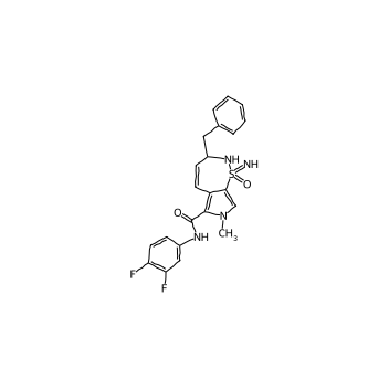 Cn1cc2c(c1C(=O)Nc1ccc(F)c(F)c1)C=CC(Cc1ccccc1)NS2(=N)=O